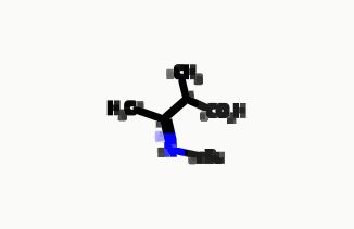 CCCC/N=C(/C)C(C)C(=O)O